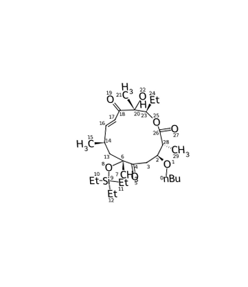 CCCCO[C@H]1CC(=O)[C@](C)(O[Si](CC)(CC)CC)C[C@@H](C)/C=C/C(=O)[C@](C)(O)[C@@H](CC)OC(=O)[C@@H]1C